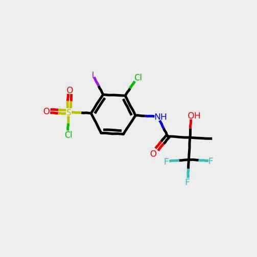 CC(O)(C(=O)Nc1ccc(S(=O)(=O)Cl)c(I)c1Cl)C(F)(F)F